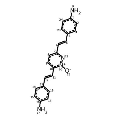 Nc1ccc(C=Cc2ccc(C=Cc3ccc(N)cc3)[n+]([O-])n2)cc1